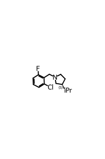 CC(C)[C@@H]1CCN(Cc2c(F)cccc2Cl)C1